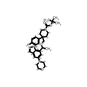 CC(OCC1(c2ccc(F)cc2)CCN(C(=O)OC(C)(C)C)CC1)c1cc(N2CCOCC2)cc2cn[nH]c12